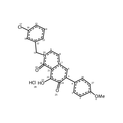 COc1ccc(-c2cn3ccn(Cc4cccc(Cl)c4)c(=O)c3c(O)c2=O)cc1.Cl